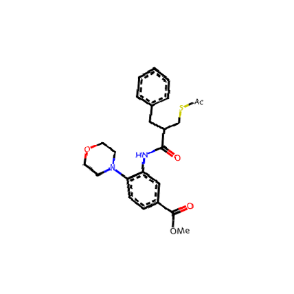 COC(=O)c1ccc(N2CCOCC2)c(NC(=O)C(CSC(C)=O)Cc2ccccc2)c1